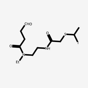 CCN(CCNC(=O)CSC(C)I)C(=O)CCC=O